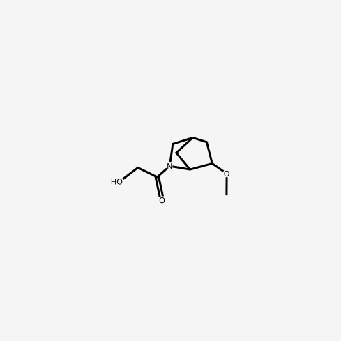 COC1CC2CC1N(C(=O)CO)C2